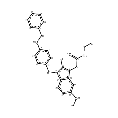 CCOC(=O)Cc1c(C)n(Cc2ccc(OCc3ccccc3)cc2)c2ccc(OC)cc12